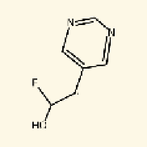 OC(F)[CH]c1cncnc1